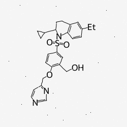 CCc1ccc2c(c1)CCC(C1CC1)N2S(=O)(=O)c1ccc(OCc2ccncn2)c(CO)c1